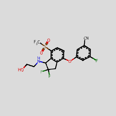 N#Cc1cc(F)cc(Oc2ccc(S(=O)(=O)C(F)(F)F)c3c2CC(F)(F)C3NCCO)c1